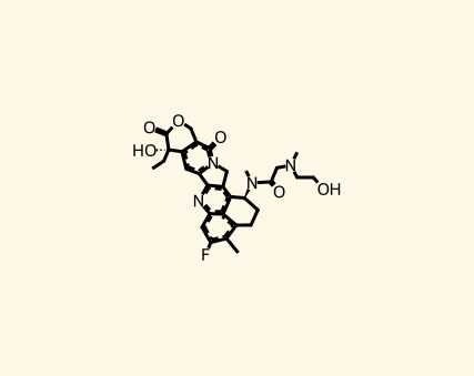 CC[C@@]1(O)C(=O)OCc2c1cc1n(c2=O)Cc2c-1nc1cc(F)c(C)c3c1c2[C@@H](N(C)C(=O)CN(C)CCO)CC3